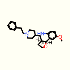 COc1ccc2c(c1)[C@H]1OCC[C@H]1[C@@H](C1CCN(CCc3ccccc3)CC1)N2